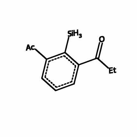 CCC(=O)c1cccc(C(C)=O)c1[SiH3]